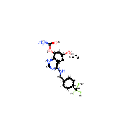 COc1cc(OC(N)=O)c2ncnc(NCc3ccc(C(F)(F)F)cc3)c2c1